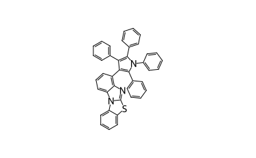 c1ccc(-c2c(-c3cccc4c3nc3sc5ccccc5n34)c(-c3ccccc3)n(-c3ccccc3)c2-c2ccccc2)cc1